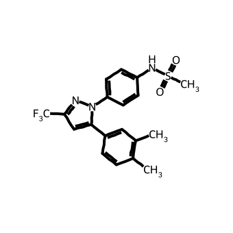 Cc1ccc(-c2cc(C(F)(F)F)nn2-c2ccc(NS(C)(=O)=O)cc2)cc1C